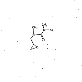 CC(=O)N(C)C(=O)N(C)CC1CO1